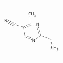 CCc1ncc(C#N)c(C)n1